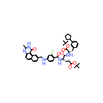 Cc1nc2ccc3ccc(CNc4ccc(C(=O)N[C@@H](CCC(=O)OC(C)(C)C)C(=O)N[C@@H](Cc5cccc(C6CCCC6)c5)C(=O)OC(C)(C)C)c(F)c4)cc3c2c(=O)[nH]1